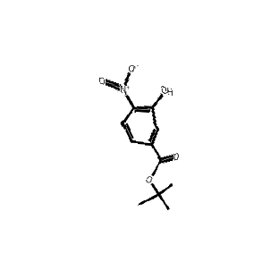 CC(C)(C)OC(=O)c1ccc([N+](=O)[O-])c(O)c1